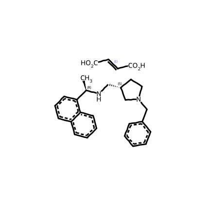 C[C@@H](NC[C@@H]1CCN(Cc2ccccc2)C1)c1cccc2ccccc12.O=C(O)/C=C/C(=O)O